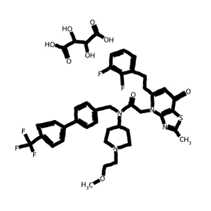 COCCN1CCC(N(Cc2ccc(-c3ccc(C(F)(F)F)cc3)cc2)C(=O)Cn2c(CCc3cccc(F)c3F)cc(=O)c3sc(C)nc32)CC1.O=C(O)C(O)C(O)C(=O)O